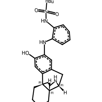 CCCCS(=O)(=O)Nc1ccccc1Nc1cc2c(cc1O)[C@@]13CCCC[C@H]1[C@@H](C2)NCC3